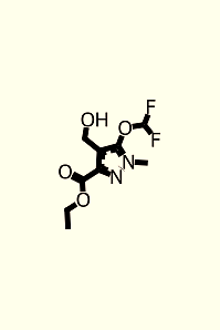 CCOC(=O)c1nn(C)c(OC(F)F)c1CO